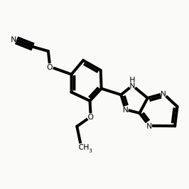 CCOc1cc(OCC#N)ccc1-c1nc2nccnc2[nH]1